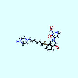 CCCC(C(=O)NC=O)N(C)Cc1c(C=O)cccc1SCCCCCCN1CCNCC1